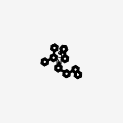 c1ccc(-c2cc(-c3ccccc3)cc(N(c3cccc(-c4cccc(-c5cccc6ccccc56)c4)c3)c3cccc4c3sc3ccccc34)c2)cc1